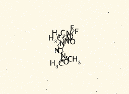 Cc1c(N2CCc3ncc(N4C[C@@H](C)O[C@@H](C)C4)cc3C2)nn2c(=O)cc(C(F)F)nc2c1C